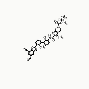 Cc1c(-c2nc3cc(C=O)cc(C#N)c3o2)cccc1-c1nccc(NC(=O)c2nc3c(n2C)CCN(C(=O)OC(C)(C)C)C3)c1Cl